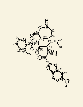 COc1ccc2oc(C(=O)NC(CC(C)C)C(=O)N([C@H]3CCCNCC3=O)S(=O)(=O)c3ncccc3C)cc2c1